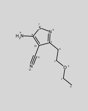 CCOCCc1nsc(N)c1C#N